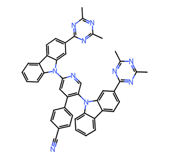 Cc1nc(C)nc(-c2ccc3c4ccccc4n(-c4cc(-c5ccc(C#N)cc5)c(-n5c6ccccc6c6ccc(-c7nc(C)nc(C)n7)cc65)cn4)c3c2)n1